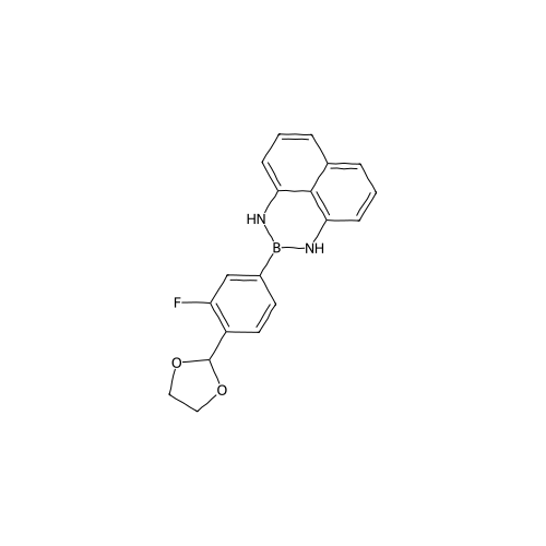 Fc1cc(B2Nc3cccc4cccc(c34)N2)ccc1C1OCCO1